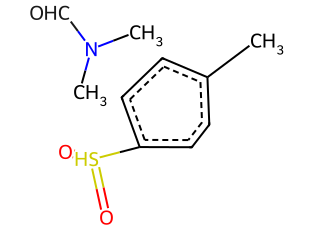 CN(C)C=O.Cc1ccc([SH](=O)=O)cc1